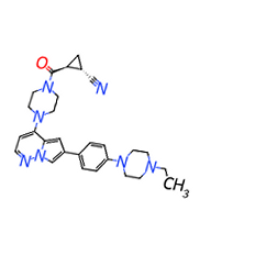 CCN1CCN(c2ccc(-c3cc4c(N5CCN(C(=O)[C@H]6C[C@@H]6C#N)CC5)ccnn4c3)cc2)CC1